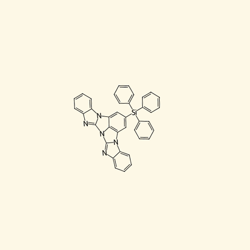 c1ccc([Si](c2ccccc2)(c2ccccc2)c2cc3c4c(c2)n2c5ccccc5nc2n4c2nc4ccccc4n32)cc1